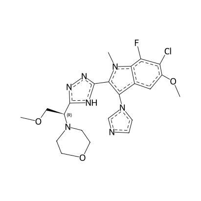 COC[C@@H](c1nnc(-c2c(-n3ccnc3)c3cc(OC)c(Cl)c(F)c3n2C)[nH]1)N1CCOCC1